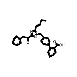 CCC=Cc1nc(C(=O)Cc2ccccc2)nn1Cc1ccc(-c2ccccc2C(=O)O)cc1